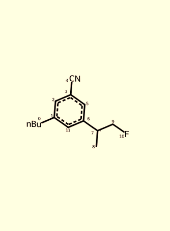 CCCCc1cc(C#N)cc([C](C)CF)c1